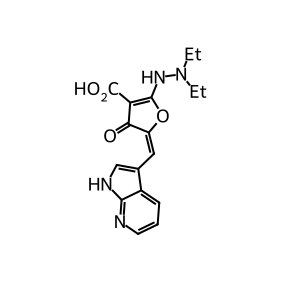 CCN(CC)NC1=C(C(=O)O)C(=O)C(=Cc2c[nH]c3ncccc23)O1